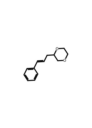 C(=Cc1ccccc1)CC1COCCO1